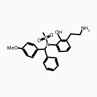 COc1ccc(C(c2ccccc2)N(c2cccc(CCN)c2O)S(C)(=O)=O)cc1